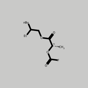 CCCCC(CC)COC(=O)[C@H](C)OC(=O)F